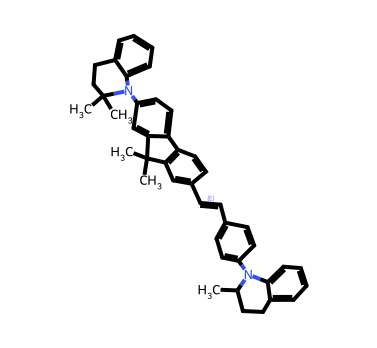 CC1CCc2ccccc2N1c1ccc(/C=C/c2ccc3c(c2)C(C)(C)c2cc(N4c5ccccc5CCC4(C)C)ccc2-3)cc1